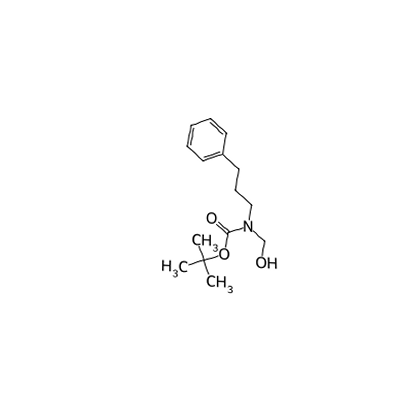 CC(C)(C)OC(=O)N(CO)CCCc1ccccc1